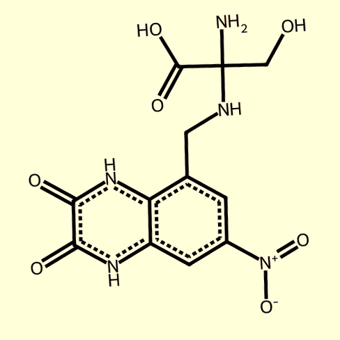 NC(CO)(NCc1cc([N+](=O)[O-])cc2[nH]c(=O)c(=O)[nH]c12)C(=O)O